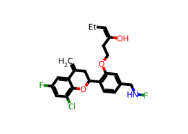 C=C1CC(c2ccc(CNF)cc2OCC/C(O)=C\CC)Oc2c(Cl)cc(F)cc21